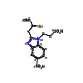 CCCCCCCCCCC(=S)Cc1nc2cc(S(=O)(=O)O)ccc2n1CCS(=O)(=O)O